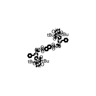 C[C@@H](C(=O)N[C@H](C(=O)N1CCC[C@H]1CN(CCc1ccccc1)C(=O)CNS(=O)(=O)c1ccc2cc(S(=O)(=O)NCC(=O)N(CCc3ccccc3)C[C@@H]3CCCN3C(=O)[C@@H](NC(=O)[C@H](C)N(C)C(=O)OC(C)(C)C)C(C)(C)C)ccc2c1)C(C)(C)C)N(C)C(=O)OC(C)(C)C